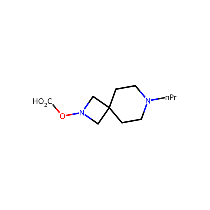 CCCN1CCC2(CC1)CN(OC(=O)O)C2